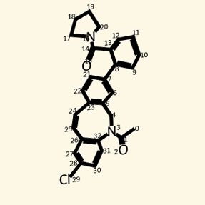 CC(=O)N1Cc2cc(-c3ccccc3C(=O)N3CCCC3)ccc2C=Cc2cc(Cl)ccc21